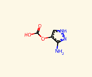 Nc1n[nH]cc1OC(=O)O